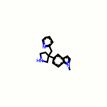 Cn1ccc2cc(C3(Cc4ccccn4)CCNC3)ccc21